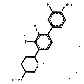 CCCCCCC1CCC(c2ccc(-c3ccc(CCCC)c(F)c3)c(F)c2F)OC1